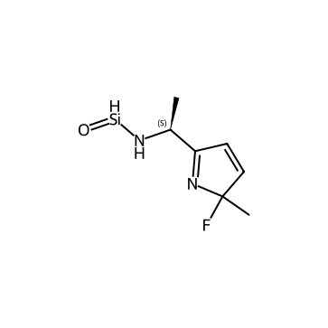 C[C@H](N[SiH]=O)C1=NC(C)(F)C=C1